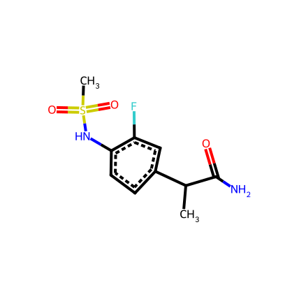 CC(C(N)=O)c1ccc(NS(C)(=O)=O)c(F)c1